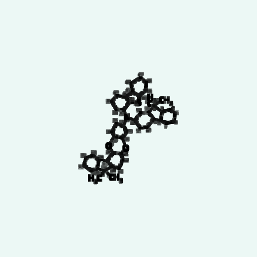 CC1(C)c2ccccc2-c2ccc(N(c3ccc4c(c3)Oc3ccc5c(c3O4)-c3ccccc3C5(C)C)c3cccc4c3sc3ccccc34)cc21